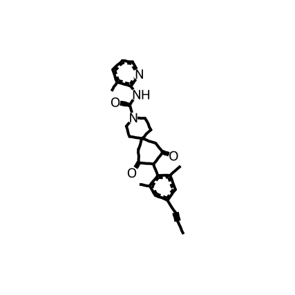 CC#Cc1cc(C)c(C2C(=O)CC3(CCN(C(=O)Nc4ncccc4C)CC3)CC2=O)c(C)c1